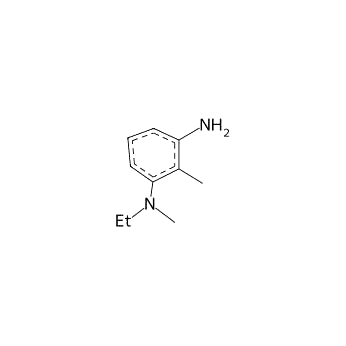 CCN(C)c1cccc(N)c1C